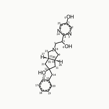 Oc1cnc(C(O)CN2C[C@@H]3CC(O)(Cc4ccccc4)C[C@@H]3C2)nc1